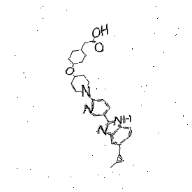 CC1=C=C1c1ccc2[nH]c(-c3ccc(N4CCC(OC5CCC(CC(=O)O)CC5)CC4)nc3)nc2c1